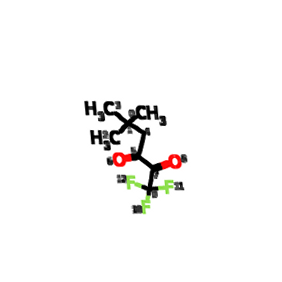 CC(C)(C)CC(=O)C(=O)C(F)(F)F